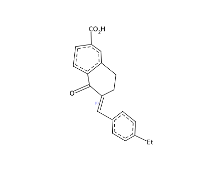 CCc1ccc(/C=C2\CCc3cc(C(=O)O)ccc3C2=O)cc1